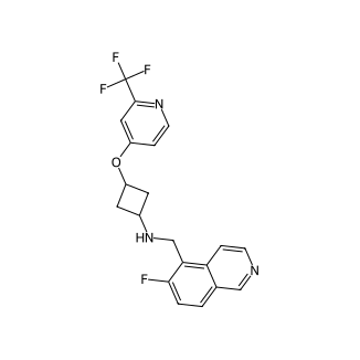 Fc1ccc2cnccc2c1CNC1CC(Oc2ccnc(C(F)(F)F)c2)C1